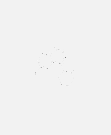 Ic1ccc2cccc(C3CCCCC3)c2c1